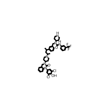 CC(CC(C)N1CCC(N(Cc2ccccc2)C(=O)Nc2cc(Cl)c(O)c(Cl)c2)CC1)c1cccc(CN(C(=O)Nc2cccc(C(F)(F)F)c2)C2CCNCC2)c1